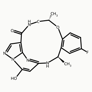 C[C@H]1CNC(=O)c2cnn3c(O)cc(nc23)N[C@H](C)c2cc(F)ccc2O1